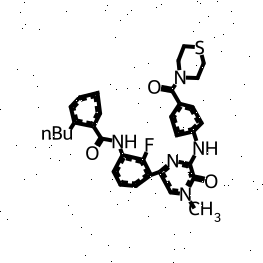 CCCCc1ccccc1C(=O)Nc1cccc(-c2cn(C)c(=O)c(Nc3ccc(C(=O)N4CCSCC4)cc3)n2)c1F